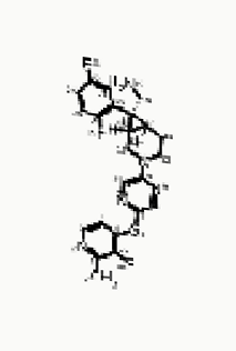 Cc1nccc(Sc2cnc(N3CC[C@@H]4[C@H](C3)[C@@]4(CN)c3cc(F)ccc3F)cn2)c1F